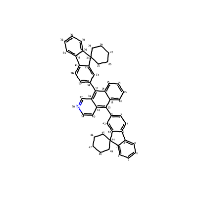 c1ccc2c(c1)-c1ccc(-c3c4ccccc4c(-c4ccc5c(c4)C4(CCCCC4)c4ccccc4-5)c4cnccc34)cc1C21CCCCC1